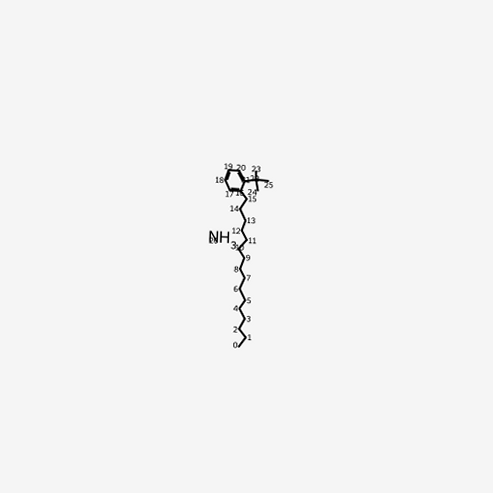 CCCCCCCCCCCCCCCCc1ccccc1C(C)(C)C.N